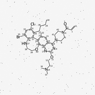 C=CC(=O)N1CCN(c2nc(OCCN(C)C)nc3c4c(c(C)cc23)-c2c(CCCC)c(Cl)cc(Br)c2NCCO4)CC1